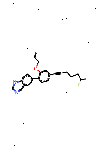 C=CCOc1cc(C#CCCCC(C)F)ccc1-c1ccc2ncncc2c1